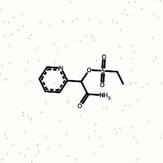 CCS(=O)(=O)OC(C(N)=O)c1ccccn1